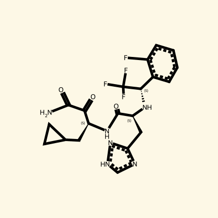 NC(=O)C(=O)[C@H](CC1CC1)NC(=O)[C@H](Cc1nc[nH]n1)N[C@@H](c1ccccc1F)C(F)(F)F